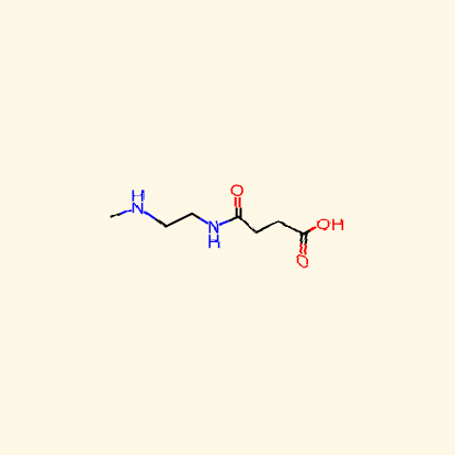 CNCCNC(=O)CCC(=O)O